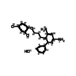 Cl.NC1=NC(c2ccccc2)N(CCCOc2ccc(Cl)cc2Cl)C(N)=N1